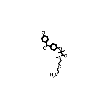 CC(C)(Oc1ccc(C(=O)c2ccc(Cl)cc2)cc1)C(=O)NCCOCCN